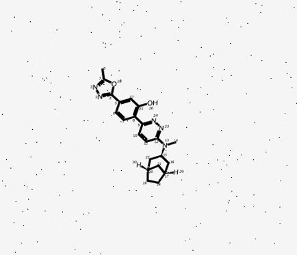 Cc1nnc(-c2ccc(-c3ccc(N(C)[C@H]4C[C@@H]5CC[C@@H](C5)C4)nn3)c(O)c2)o1